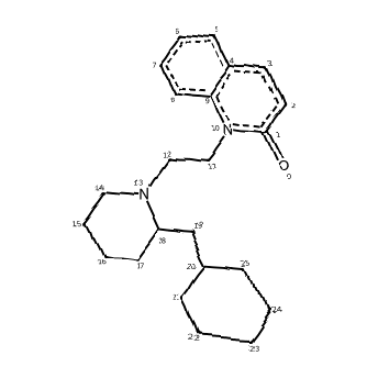 O=c1ccc2ccccc2n1CCN1CCCCC1CC1CCCCC1